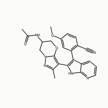 COc1ccc(C#N)c(-c2c(-c3c(C)nn4c3OCC(NC(C)=O)C4)[nH]c3ncccc23)c1